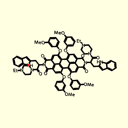 CCN1CCN(C(=O)C(Cc2cc3ccccc3[nH]2)N2C(=O)c3cc(Oc4cccc(OC)c4)c4c5c(Oc6cccc(OC)c6)cc6c7c(cc(Oc8cccc(OC)c8)c(c8c(Oc9cccc(OC)c9)cc(c3c48)C2=O)c75)C(=O)N(C(Cc2cc3ccccc3[nH]2)C(=O)N2CCN(CC)CC2)C6=O)CC1